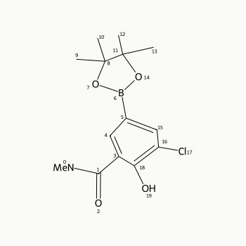 CNC(=O)c1cc(B2OC(C)(C)C(C)(C)O2)cc(Cl)c1O